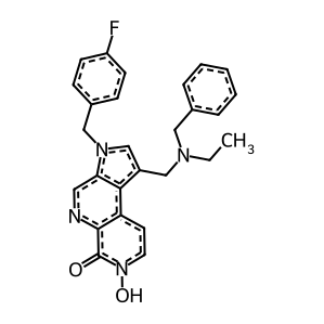 CCN(Cc1ccccc1)Cc1cn(Cc2ccc(F)cc2)c2cnc3c(=O)n(O)ccc3c12